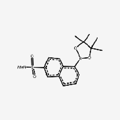 CNS(=O)(=O)c1ccc2c(B3OC(C)(C)C(C)(C)O3)cccc2c1